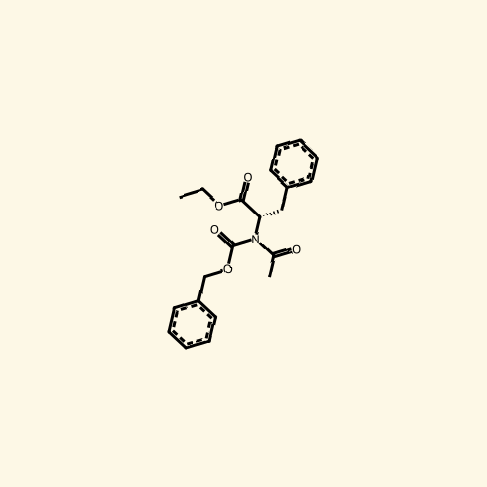 CCOC(=O)[C@H](Cc1ccccc1)N(C(C)=O)C(=O)OCc1ccccc1